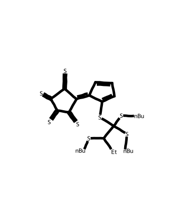 CCCCSC(CC)C(SCCCC)(SCCCC)SC1=CC=CC1=C1C(=S)C(=S)C(=S)C1=S